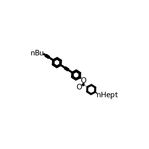 CCCCC#Cc1ccc(C#Cc2ccc(OC(=O)[C@H]3CC[C@H](CCCCCCC)CC3)cc2)cc1